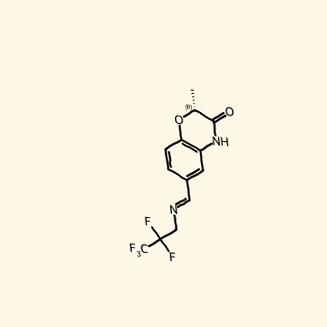 C[C@H]1Oc2ccc(C=NCC(F)(F)C(F)(F)F)cc2NC1=O